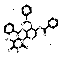 CCCc1cn(C2OCC(OC(=O)c3ccccc3)C(OC(=O)c3ccccc3)C2OC(=O)c2ccccc2)c(=O)[nH]c1=O